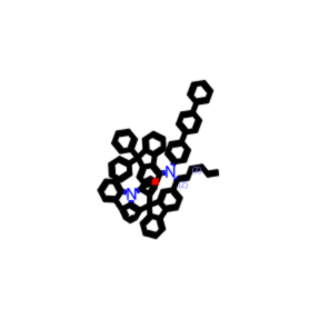 C=C/C=C\C=C(\c1ccc2c(c1)C1(c3ccccc3-2)c2ccccc2-n2c3ccccc3c3cccc1c32)N(c1ccc(-c2ccc(-c3ccccc3)cc2)cc1)c1cccc2c1-c1ccccc1C2(c1ccccc1)c1ccccc1